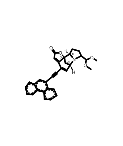 COC(OC)C1CC[C@H]2N1[C@@H]1C=C(C#Cc3cc4ccccc4c4ccccc34)C3=CC(=O)O[C@@]32C1